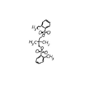 Cc1ccccc1S(=O)(=O)OCC(C)(C)COS(=O)(=O)c1ccccc1C